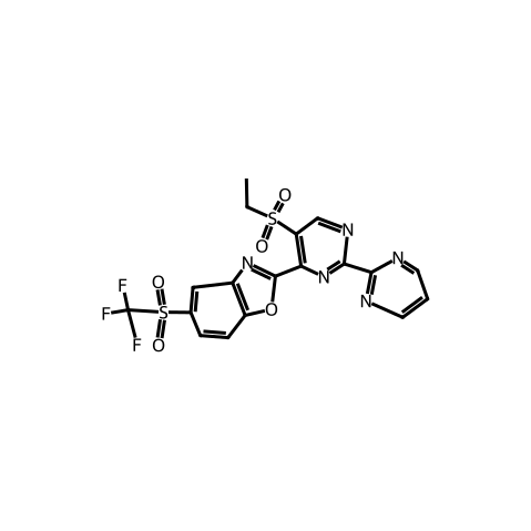 CCS(=O)(=O)c1cnc(-c2ncccn2)nc1-c1nc2cc(S(=O)(=O)C(F)(F)F)ccc2o1